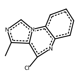 Cc1ncn2c1c(Cl)nc1ccccc12